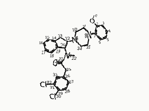 COc1ccccc1N1CCN(C2Cc3ccccc3C2N(C)C(=O)Cc2ccc(Cl)c(Cl)c2)CC1